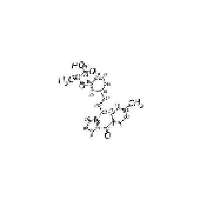 Cc1ccc(C(=O)c2cccn2CC=Cc2cccc(O[C@@H](C)C(=O)O)c2)cc1